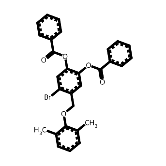 Cc1cccc(C)c1OCc1cc(OC(=O)c2ccccc2)c(OC(=O)c2ccccc2)cc1Br